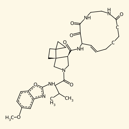 COc1ccc2oc(NC(C(=O)N3C[C@H](C(=O)NC4/C=C/CCCCC(=O)NCCNC(=O)C4=O)[C@]4(CCC45CC5)C3)C(C)C)nc2c1